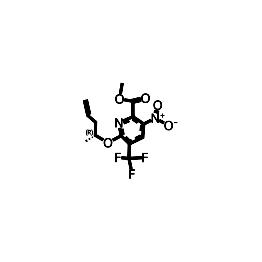 C=CC[C@@H](C)Oc1nc(C(=O)OC)c([N+](=O)[O-])cc1C(F)(F)F